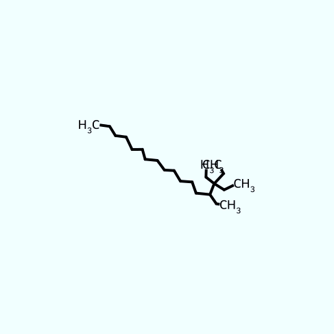 CCCCCCCCCCCCCC(CC)C(CC)(CC)CC